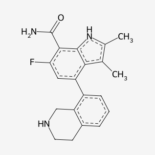 Cc1[nH]c2c(C(N)=O)c(F)cc(-c3cccc4c3CNCC4)c2c1C